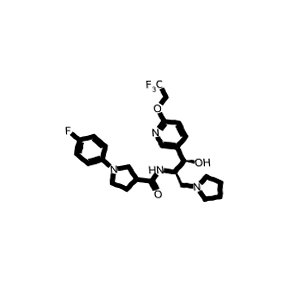 O=C(N[C@H](CN1CCCC1)[C@H](O)c1ccc(OCC(F)(F)F)nc1)C1CCN(c2ccc(F)cc2)C1